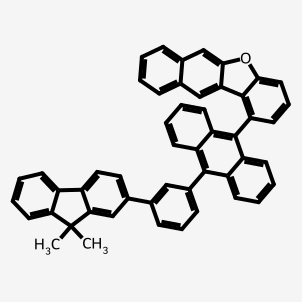 CC1(C)c2ccccc2-c2ccc(-c3cccc(-c4c5ccccc5c(-c5cccc6oc7cc8ccccc8cc7c56)c5ccccc45)c3)cc21